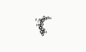 CC(C)(C)OC(=O)N1CCN(CC(=O)Nc2ccc(C3CCC(=O)NC3=O)cc2)[C@@H](C(F)(F)F)C1